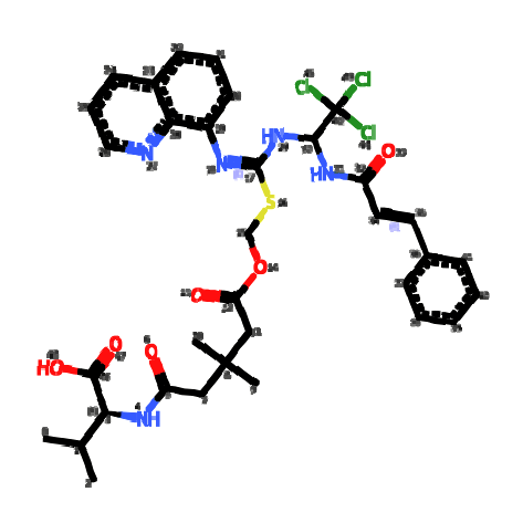 CC(C)[C@H](NC(=O)CC(C)(C)CC(=O)OCS/C(=N/c1cccc2cccnc12)NC(NC(=O)/C=C/c1ccccc1)C(Cl)(Cl)Cl)C(=O)O